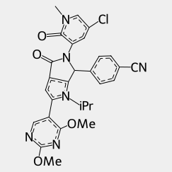 COc1ncc(-c2cc3c(n2C(C)C)C(c2ccc(C#N)cc2)N(c2cc(Cl)cn(C)c2=O)C3=O)c(OC)n1